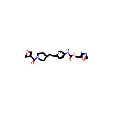 O=C(Nc1ccc(CCC2CCN(C(=O)C3COC3)CC2)cc1)OCc1cnco1